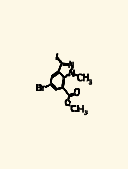 COC(=O)c1cc(Br)cc2c(I)nn(C)c12